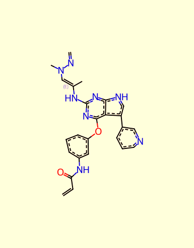 C=CC(=O)Nc1cccc(Oc2nc(N/C(C)=C/N(C)N=C)nc3[nH]cc(-c4cccnc4)c23)c1